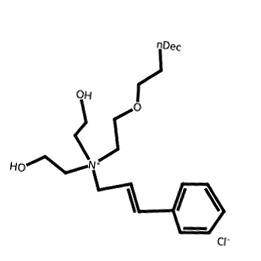 CCCCCCCCCCCCOCC[N+](C/C=C/c1ccccc1)(CCO)CCO.[Cl-]